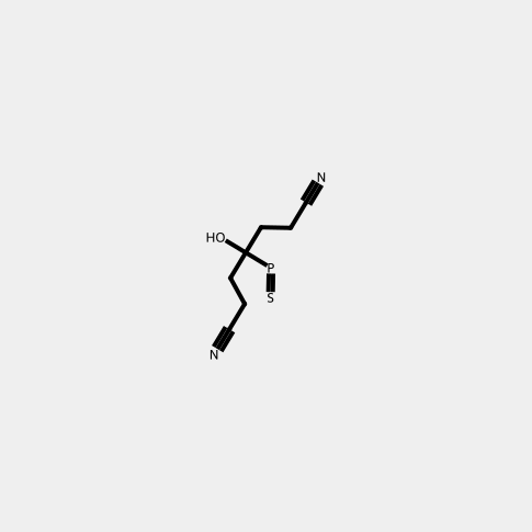 N#CCCC(O)(CCC#N)P=S